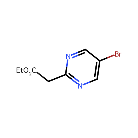 CCOC(=O)Cc1ncc(Br)cn1